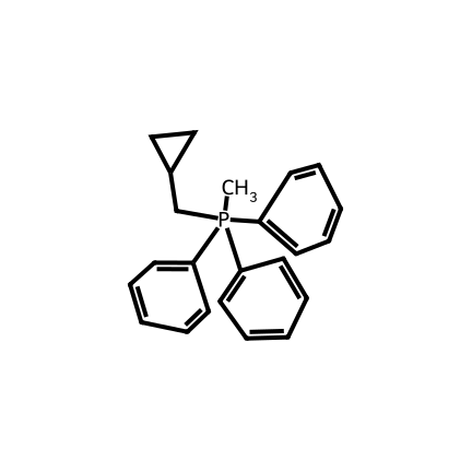 CP(CC1CC1)(c1ccccc1)(c1ccccc1)c1ccccc1